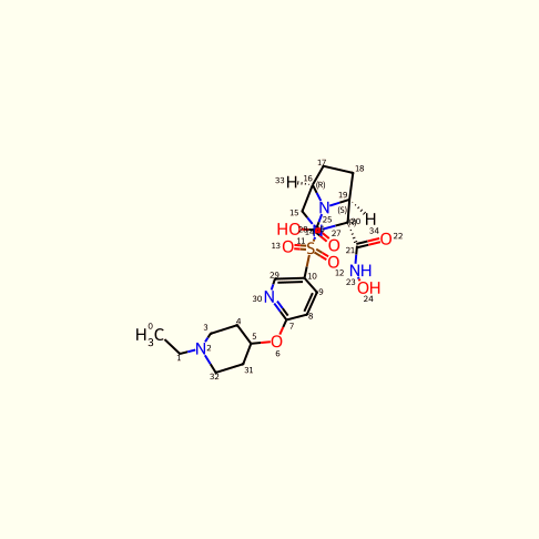 CCN1CCC(Oc2ccc(S(=O)(=O)N3C[C@H]4CC[C@@H]([C@@H]3C(=O)NO)N4C(=O)O)cn2)CC1